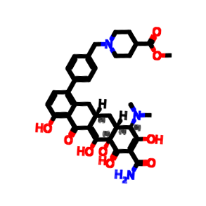 COC(=O)C1CCN(Cc2ccc(-c3ccc(O)c4c3C[C@@H]3C[C@@H]5[C@@H](N(C)C)C(O)=C(C(N)=O)C(=O)[C@]5(O)C(O)=C3C4=O)cc2)CC1